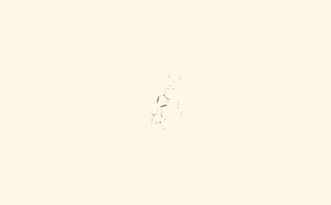 CCC[C@H](C)Oc1cc(-n2nc(C(C)O)n(C)c2=O)c(F)cc1C(=O)NC(CC)CC